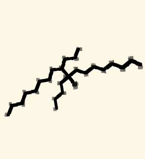 CCCCCCCCC(CCC)C([O])(CCCC)CCCCCCCC